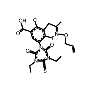 C=CCON=C(C)Cc1c(F)c(-n2c(=O)n(CC)c(=S)n(CC)c2=O)cc(C(=O)O)c1Cl